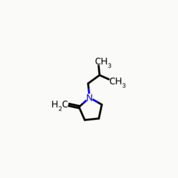 C=C1CCCN1CC(C)C